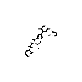 Cc1ncccc1C(F)(F)c1nnc2n1[C@@H](CF)Cn1cc(-c3cc(Nc4ccnn4C)ncc3Cl)cc1-2